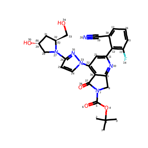 CC(C)(C)OC(=O)N1Cc2nc(-c3c(F)cccc3C#N)cc(-n3ccc(N4C[C@H](O)C[C@H]4CO)n3)c2C1=O